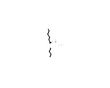 CCCCCC(=O)OCCCC.[Cl][SnH]